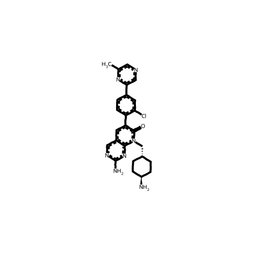 Cc1cncc(-c2ccc(-c3cc4cnc(N)nc4n(C[C@H]4CC[C@H](N)CC4)c3=O)c(Cl)c2)n1